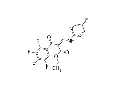 CCOC(=O)C(=CNc1ccc(F)cn1)C(=O)c1cc(F)c(F)c(F)c1F